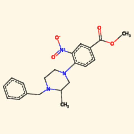 COC(=O)c1ccc(N2CCN(Cc3ccccc3)C(C)C2)c([N+](=O)[O-])c1